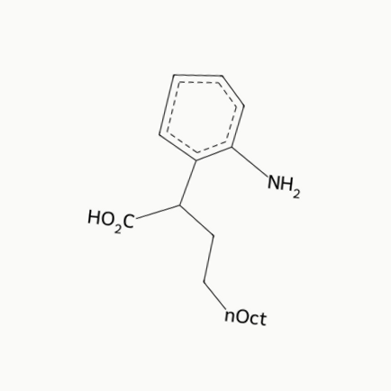 CCCCCCCCCCC(C(=O)O)c1ccccc1N